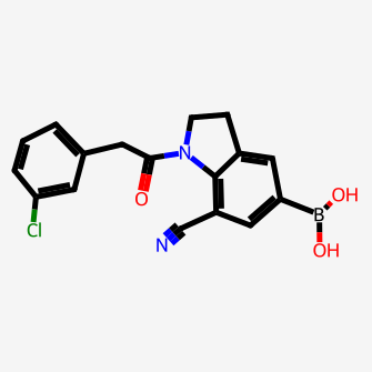 N#Cc1cc(B(O)O)cc2c1N(C(=O)Cc1cccc(Cl)c1)CC2